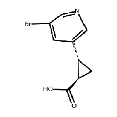 O=C(O)[C@@H]1C[C@H]1c1cncc(Br)c1